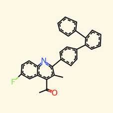 CC(=O)c1c(C)c(-c2ccc(-c3ccccc3-c3ccccc3)cc2)nc2ccc(F)cc12